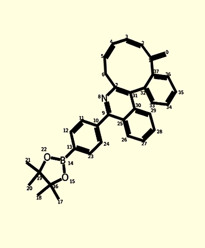 C=C1/C=C\C=C/Cc2nc(-c3ccc(B4OC(C)(C)C(C)(C)O4)cc3)c3ccccc3c2-c2ccccc21